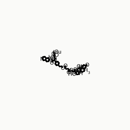 CC(C)(C)OC(=O)NCC(C(=O)Nc1ccc2cnccc2c1)c1ccc(CCOC(=O)CCC(=O)OCC(=O)[C@@]2(O)CC[C@H]3[C@@H]4CCC5=CC(=O)C=C[C@]5(C)[C@H]4[C@@H](O)C[C@@]32C)cc1